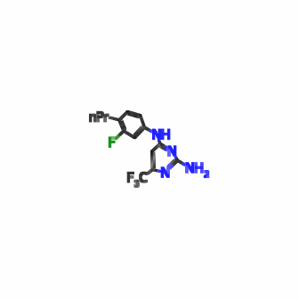 CCCc1ccc(Nc2cc(C(F)(F)F)nc(N)n2)cc1F